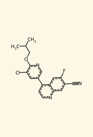 CC(C)COc1ncc(-c2ccnc3cc(C#N)c(F)cc23)cc1Cl